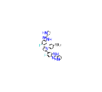 CC(C)(C)c1ccc(N2[C@@H](c3cc4[nH]c([C@@H]5CCCN5)nc4cc3F)CC[C@@H]2c2cc3[nH]c([C@@H]4CCCN4)nc3cc2F)cc1